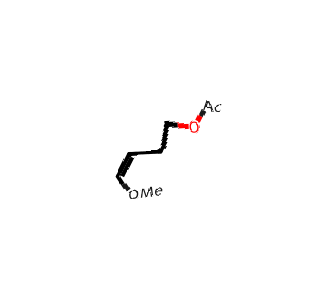 CO/C=C\CCOC(C)=O